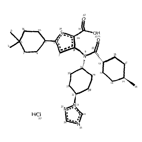 CC1(C)CCC(c2cc(N(C(=O)[C@H]3CC[C@H](C)CC3)[C@H]3CC[C@H](n4cncn4)CC3)c(C(=O)O)s2)CC1.Cl